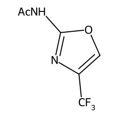 CC(=O)Nc1nc(C(F)(F)F)co1